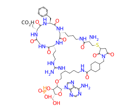 N=C(N)NCCC[C@H]1NC(=O)[C@@H](CCCCNC(=O)[C@H](N)CSC2CC(=O)N(CC3CCC(C(=O)NCCCCCCOC4C(O[PH](=O)O)[C@@H](CO)O[C@H]4n4cnc5c(N)ncnc54)CC3)C2=O)NC(=O)[C@H](Cc2ccccc2)NC(=O)[C@@H](CC(=O)O)NC(=O)CNC1=O